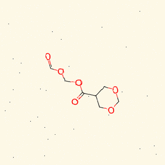 O=COCOC(=O)C1COCOC1